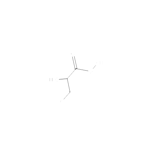 COC(=O)C(C)CBr